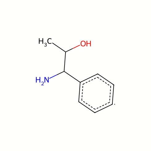 CC(O)C(N)c1cc[c]cc1